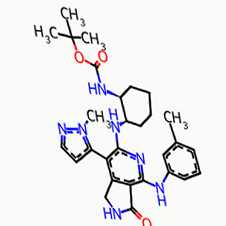 Cc1cccc(Nc2nc(N[C@@H]3CCCC[C@@H]3NC(=O)OC(C)(C)C)c(-c3ccnn3C)c3c2C(=O)NC3)c1